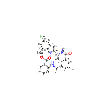 Cc1cc(C(C)Nc2ccccc2C(=O)OC(C)(C)C)c2cc(-c3cc4cc(F)ccc4[nH]3)n(C)c(=O)c2c1